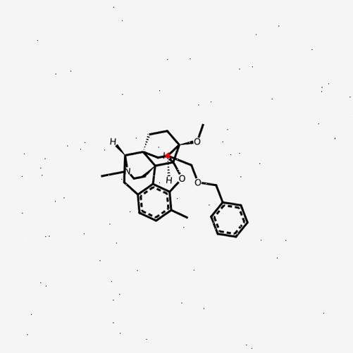 CO[C@]12CC[C@@]3(C[C@@H]1COCc1ccccc1)[C@H]1Cc4ccc(C)c5c4[C@@]3(CCN1C)[C@H]2O5